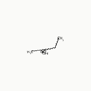 CCCCCC=CC/C=C\CCCCCCCC(CCCCCCCCCC)OC(=O)O